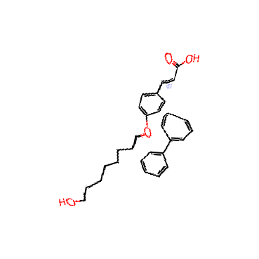 O=C(O)/C=C/c1ccc(OCCCCCCCCO)cc1.c1ccc(-c2ccccc2)cc1